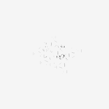 Oc1cc(O)c2c(c1)O[C@@]1(c3ccc(O)c(O)c3)Oc3cc(O)c4c(c3[C@@H]2[C@H]1O)OC(c1ccc(O)c(O)c1)[C@H](O)C4c1c(O)cc(O)c2c1O[C@H](c1ccc(O)c(O)c1)[C@@H](O)C2